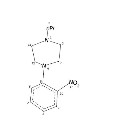 C[CH]CN1CCN(c2ccccc2[N+](=O)[O-])CC1